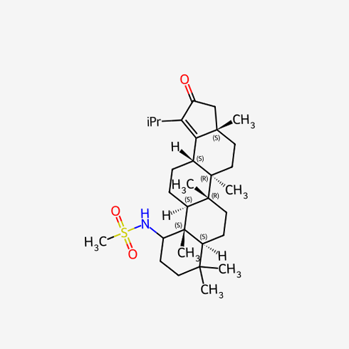 CC(C)C1=C2[C@H]3CC[C@@H]4[C@@]5(C)C(NS(C)(=O)=O)CCC(C)(C)[C@@H]5CC[C@@]4(C)[C@]3(C)CC[C@@]2(C)CC1=O